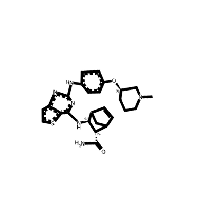 CN1CCC[C@@H](Oc2ccc(Nc3nc(N[C@H]4C5C=CC(C5)[C@@H]4C(N)=O)c4sccc4n3)cc2)C1